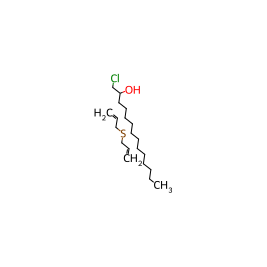 C=CCSCC=C.CCCCCCCCCCCCC(O)CCl